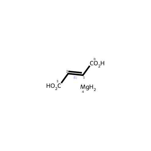 O=C(O)/C=C/C(=O)O.[MgH2]